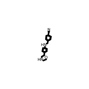 N#Cc1ccc(CNc2ccc(C3CNCCO3)cc2)cc1